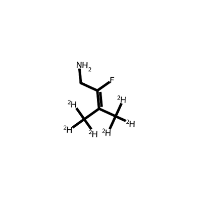 [2H]C([2H])([2H])C(=C(F)CN)C([2H])([2H])[2H]